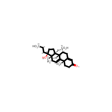 C[C@]12CCC(=O)C=C1C[C@@H](C(=O)O)[C@@H]1C2=CC[C@@]2(C)[C@H]1CC[C@@]2(O)CCC(=O)O